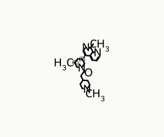 Cc1ncc([C@@H]2C[C@@H](C)CN(C(=O)CC3CCN(C)CC3)C2)c2cccnc12